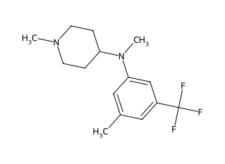 Cc1cc(N(C)C2CCN(C)CC2)cc(C(F)(F)F)c1